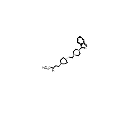 O=C(O)NCC[C@H]1CC[C@H](CCN2CCN(c3nsc4ccccc34)CC2)CC1